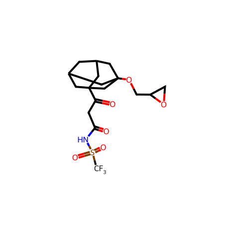 O=C(CC(=O)C12CC3CC(CC(OCC4CO4)(C3)C1)C2)NS(=O)(=O)C(F)(F)F